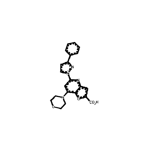 O=C(O)c1cc2nc(-n3ccc(-c4ccccc4)n3)cc(N3CCOCC3)c2o1